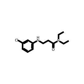 CCN(CC)C(=O)CCNc1cccc(Cl)c1